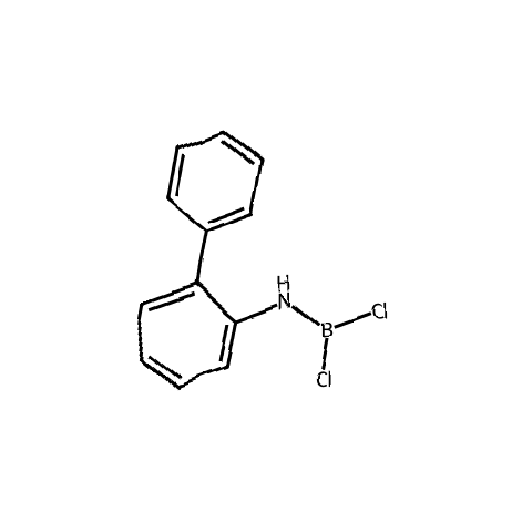 ClB(Cl)Nc1ccccc1-c1ccccc1